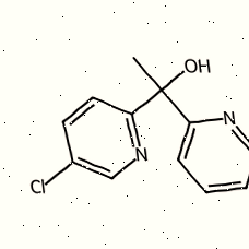 CC(O)(c1ccccn1)c1ccc(Cl)cn1